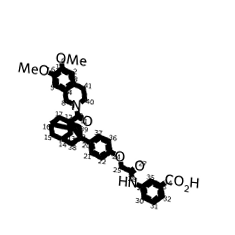 COc1cc2c(cc1OC)CN(C(=O)C13CC4CC(C1)CC(c1ccc(OCC(=O)Nc5cccc(C(=O)O)c5)cc1)(C4)C3)CC2